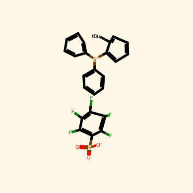 CC(C)(C)c1ccccc1[S+](c1ccccc1)c1ccccc1.O=S(=O)([O-])c1c(F)c(F)c(F)c(F)c1F